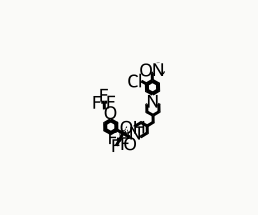 CN(C)C(=O)c1ccc(N2CCC(CC3CCN(C(=O)[C@](O)(c4cccc(OCC(F)(F)F)c4)C(F)(F)F)CC3)CC2)cc1Cl